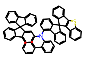 c1ccc(-c2ccccc2N(c2ccc3c(c2)C2(c4ccccc4-c4ccccc42)c2ccccc2-3)c2cccc3c2-c2ccccc2C32c3ccccc3-c3sc4ccccc4c32)cc1